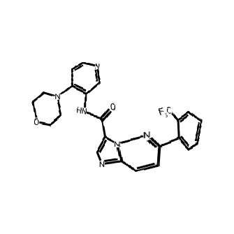 O=C(Nc1cnccc1N1CCOCC1)c1cnc2ccc(-c3ccccc3C(F)(F)F)nn12